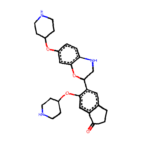 O=C1CCc2cc(C3CNc4ccc(OC5CCNCC5)cc4O3)c(OC3CCNCC3)cc21